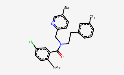 CNc1ccc(Cl)cc1C(=O)N(CCc1cccc(C(F)(F)F)c1)Cc1ccc(C(C)(C)C)cn1